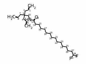 C=CCC(CC=C)(CC=C)CNC(=O)CCCCCCCCCCCCCCC(F)F